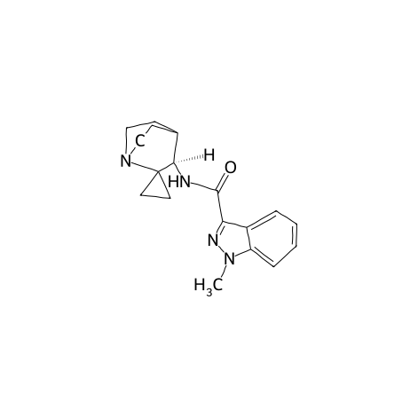 Cn1nc(C(=O)N[C@@H]2C3CCN(CC3)C23CC3)c2ccccc21